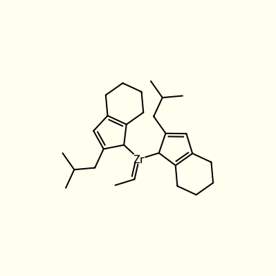 C[CH]=[Zr]([CH]1C(CC(C)C)=CC2=C1CCCC2)[CH]1C(CC(C)C)=CC2=C1CCCC2